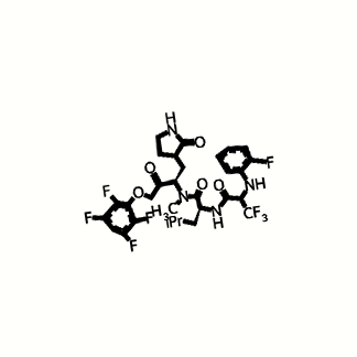 CC(C)C[C@H](NC(=O)C(Nc1ccccc1F)C(F)(F)F)C(=O)N(C)[C@H](CC1CCNC1=O)C(=O)COc1c(F)c(F)cc(F)c1F